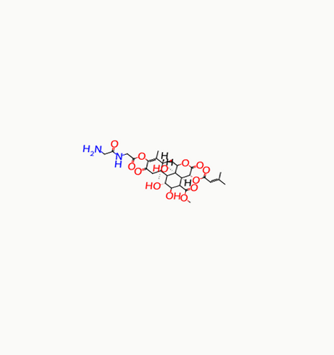 COC(=O)C1[C@@H](O)[C@H](O)C2[C@]3(CO)[C@H]1[C@@H](OC(=O)C=C(C)C)C(=O)O[C@@H]3C[C@H]1C(C)=C(OC(=O)CNC(=O)CN)C(=O)C[C@]21C